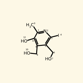 Cc1nc(I)c(CO)c(CO)c1O